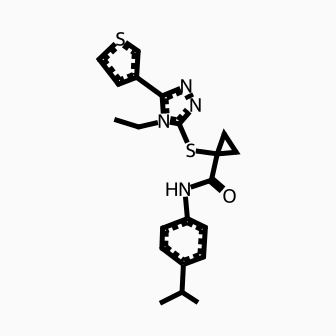 CCn1c(SC2(C(=O)Nc3ccc(C(C)C)cc3)CC2)nnc1-c1ccsc1